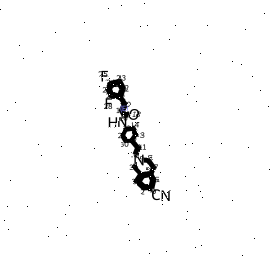 N#Cc1ccc2c(c1)CCN(CCC1CCC(NC(=O)/C=C/c3ccc(F)cc3F)CC1)C2